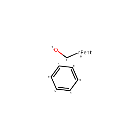 CCCCCC[O].c1ccccc1